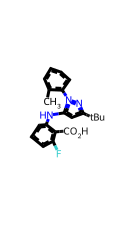 Cc1ccccc1-n1nc(C(C)(C)C)cc1Nc1cccc(F)c1C(=O)O